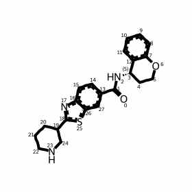 O=C(N[C@H]1CCOc2ccccc21)c1ccc2nc(C3CCCNC3)sc2c1